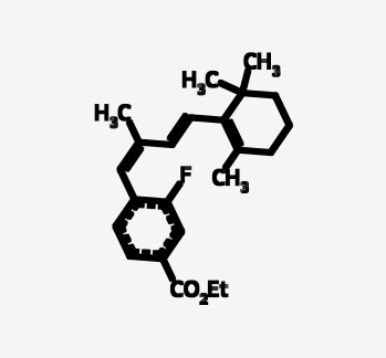 CCOC(=O)c1ccc(C=C(C)C=CC2=C(C)CCCC2(C)C)c(F)c1